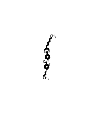 CCCCCCCc1cnc(-c2ccc(OC(=O)c3ccc(OCCCC)cc3F)cc2)nc1